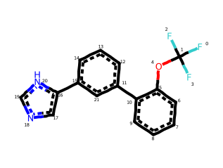 FC(F)(F)Oc1ccccc1-c1cccc(-c2cnc[nH]2)c1